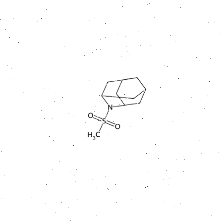 CS(=O)(=O)N1C2CC3CC(C2)CC1C3